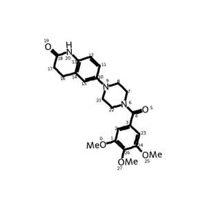 COc1cc(C(=O)N2CCN(c3ccc4c(c3)CCC(=O)N4)CC2)cc(OC)c1OC